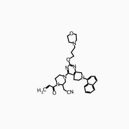 C=CC(=O)N1CCN(c2nc(OCCCN3CCOCC3)nc3c2CCN(c2cccc4ccccc24)C3)CC1CC#N